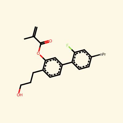 C=C(C)C(=O)Oc1cc(-c2ccc(CCC)cc2F)ccc1CCCO